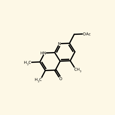 CC(=O)OCc1cc(C)c2c(=O)c(C)c(C)[nH]c2n1